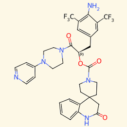 Nc1c(C(F)(F)F)cc(C[C@@H](OC(=O)N2CCC3(CC2)CC(=O)Nc2ccccc23)C(=O)N2CCN(c3ccncc3)CC2)cc1C(F)(F)F